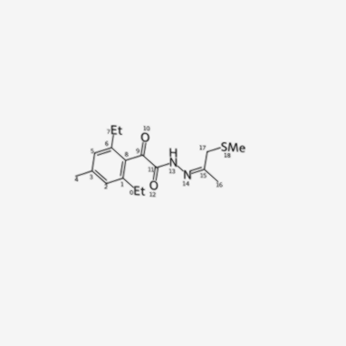 CCc1cc(C)cc(CC)c1C(=O)C(=O)NN=C(C)CSC